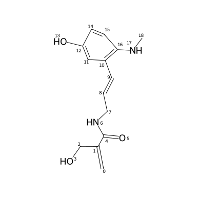 C=C(CO)C(=O)NC/C=C/c1cc(O)ccc1NC